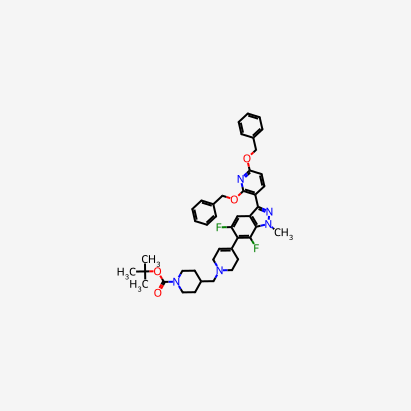 Cn1nc(-c2ccc(OCc3ccccc3)nc2OCc2ccccc2)c2cc(F)c(C3=CCN(CC4CCN(C(=O)OC(C)(C)C)CC4)CC3)c(F)c21